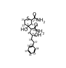 NC(=O)C1CC(O)([C@H](C[C@@H](O)[CH]Cc2ccccc2)C(N)=O)CCS1